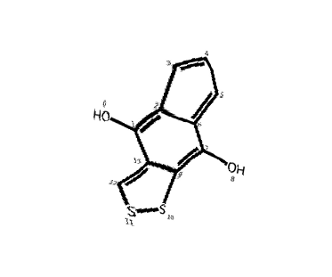 Oc1c2cccc2c(O)c2sscc12